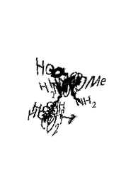 COC(=O)C(CCCCN)NC(=O)[C@H](Cc1ccc(O)cc1)NC(=O)[C@@H](N)CCCCNC(=O)C(O)C(O)C(O)C(O)C(=O)O